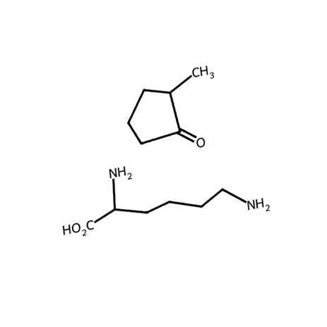 CC1CCCC1=O.NCCCCC(N)C(=O)O